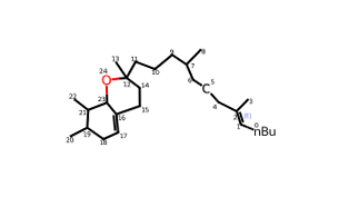 CCCC/C=C(\C)CCCC(C)CCCC1(C)CCC2=CCC(C)C(C)C2O1